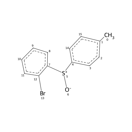 Cc1ccc([S+]([O-])c2ccccc2Br)cc1